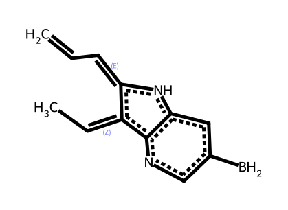 Bc1cnc2c(=C/C)/c(=C\C=C)[nH]c2c1